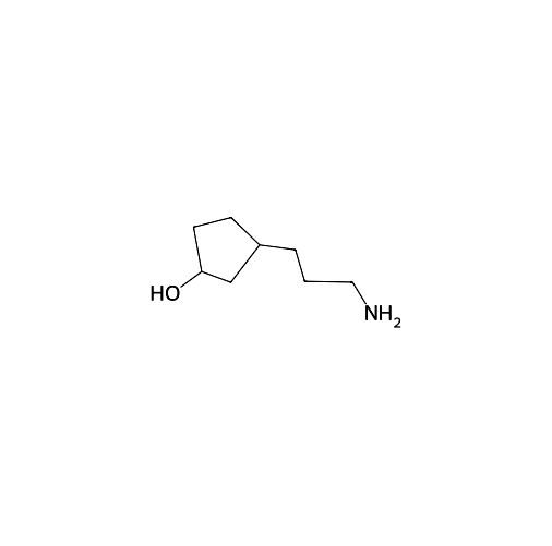 NCCCC1CCC(O)C1